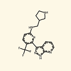 FC(F)(F)c1ccc(NCC2CCNC2)nc1-c1n[nH]c2ncccc12